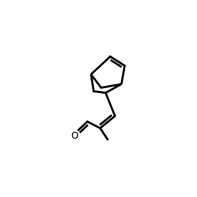 CC(C=O)=CC1CC2C=CC1C2